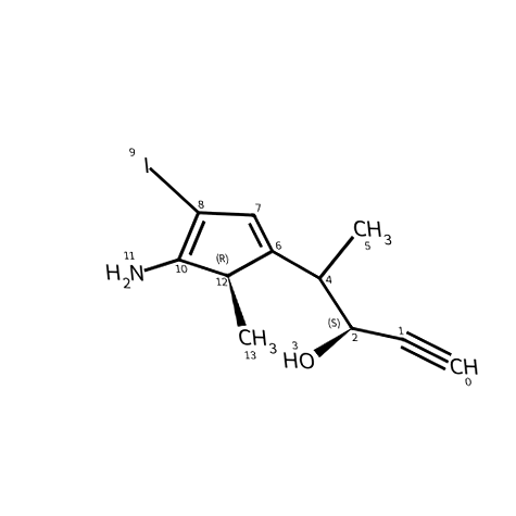 C#C[C@@H](O)C(C)C1=CC(I)=C(N)[C@@H]1C